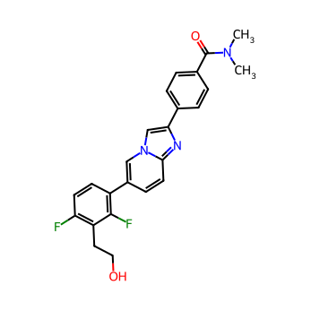 CN(C)C(=O)c1ccc(-c2cn3cc(-c4ccc(F)c(CCO)c4F)ccc3n2)cc1